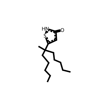 CCCCCC(C)(CCCCC)c1cc(=O)[nH]s1